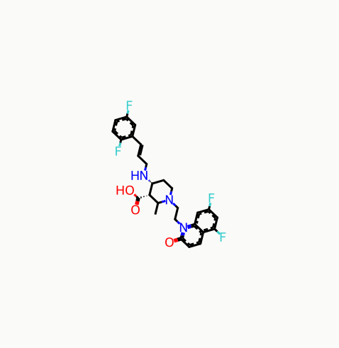 CC1[C@H](C(=O)O)[C@H](NCC=Cc2cc(F)ccc2F)CCN1CCn1c(=O)ccc2c(F)cc(F)cc21